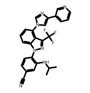 CC(C)Nc1cc(C#N)ccc1-n1nc(C(F)(F)F)c2c(-n3cnc(-c4cccnc4)c3)cccc21